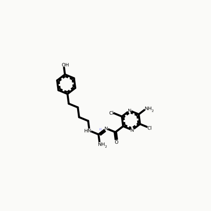 N/C(=N\C(=O)c1nc(Cl)c(N)nc1Cl)NCCCCc1ccc(O)cc1